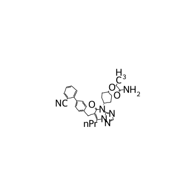 CCCc1c(Cc2ccc(-c3ccccc3C#N)cc2)c(=O)n([C@H]2CC[C@H](OC(C)C(N)=O)CC2)c2ncnn12